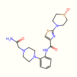 NC(=O)CN1CCN(c2ccccc2NC(=O)c2csc(N3CC[S+]([O-])CC3)n2)CC1